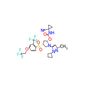 Cc1cc(N2C[C@H](S(=O)(=O)c3ccc(OCC(F)(F)F)cc3C(F)(F)F)C[C@@H]2OC(=O)NC2(C#N)CC2)n(C2CCC2)n1